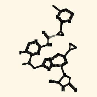 Cc1ccnc([C@H]2C[C@@H]2C(=O)Nc2ncc(F)c(N(C)Cc3cn4cc(C5CC5)cc(N5CC(=O)NC5=O)c4n3)n2)n1